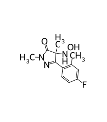 Cc1cc(F)ccc1C1=NN(C)C(=O)C1(C)NO